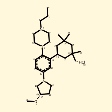 CCCN1CCN(c2ccc(N3CC[C@H](OC)C3)cc2C2CC(C)(C)CC(C)(C)C2)CC1.Cl